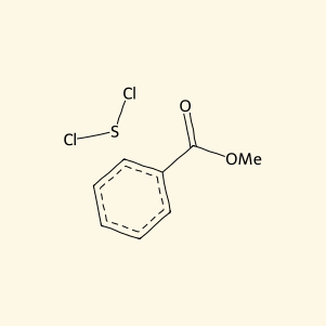 COC(=O)c1ccccc1.ClSCl